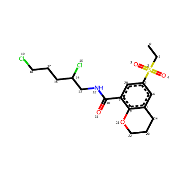 CCS(=O)(=O)c1cc2c(c(C(=O)NCC(Cl)CCCCl)c1)OCCC2